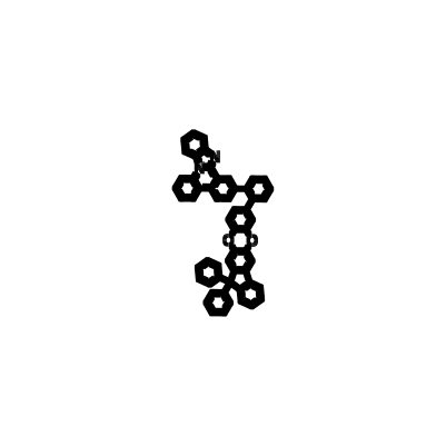 c1ccc(C2(c3ccccc3)c3ccccc3-c3cc4c(cc32)Oc2ccc(-c3ccccc3-c3ccc5c6ccccc6n6c7ccccc7nc6c5c3)cc2O4)cc1